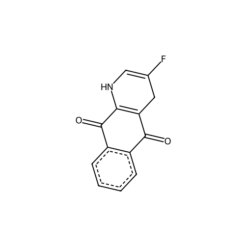 O=C1C2=C(NC=C(F)C2)C(=O)c2ccccc21